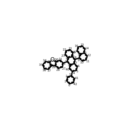 c1ccc(-c2ccc3c(-c4cccc5ccccc45)c4ccccc4c(-c4ccc5c(c4)oc4ccccc45)c3c2)cc1